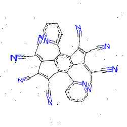 N#CC(C#N)=C1C(C#N)=C(C#N)c2c1c(-c1ccccn1)c1c(c2-c2ccccn2)C(=C(C#N)C#N)C(C#N)=C1C#N